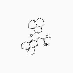 COP(O)C1=c2cc3c4c(c2Oc2c1cc1c5c2CCCN5CCC1)CCC[N+]=4CCC3